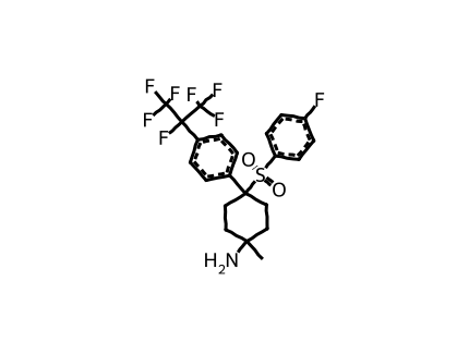 CC1(N)CCC(c2ccc(C(F)(C(F)(F)F)C(F)(F)F)cc2)(S(=O)(=O)c2ccc(F)cc2)CC1